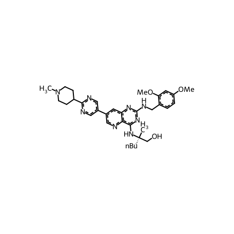 CCCC[C@](C)(CO)Nc1nc(NCc2ccc(OC)cc2OC)nc2cc(-c3cnc(C4CCN(C)CC4)nc3)cnc12